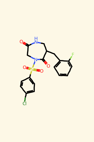 O=C1CN(S(=O)(=O)c2ccc(Cl)cc2)C(=O)C(Cc2ccccc2F)CN1